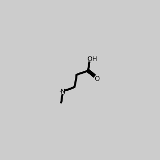 C[N]CCC(=O)O